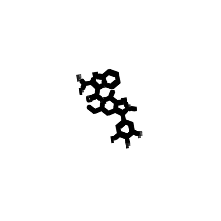 CCC1Cc2c(nn(C)c2-c2cc(F)c(F)c(F)c2)C(C)N1C(=O)c1c(C(F)F)nc2ccccn12